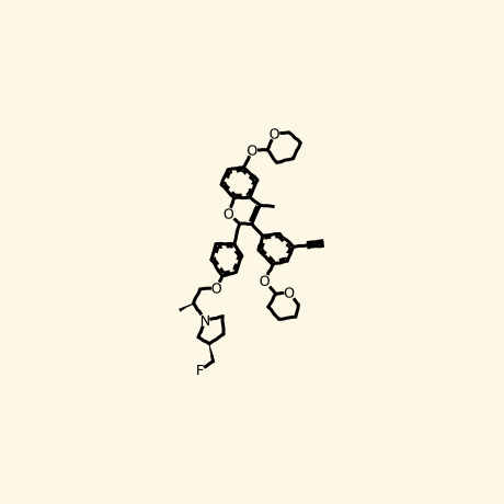 C#Cc1cc(OC2CCCCO2)cc(C2=C(C)c3cc(OC4CCCCO4)ccc3OC2c2ccc(OC[C@H](C)N3CC[C@@H](CF)C3)cc2)c1